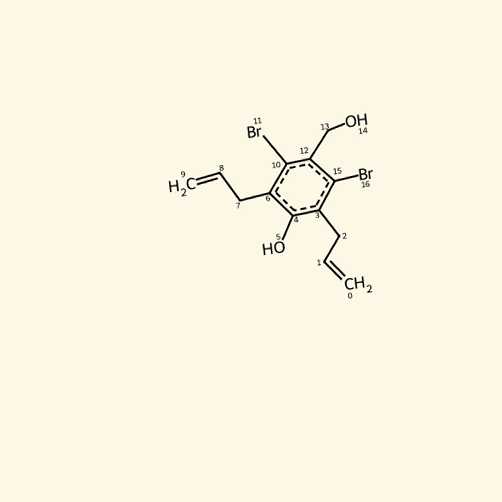 C=CCc1c(O)c(CC=C)c(Br)c(CO)c1Br